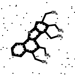 CCc1cc2oc3c4ccccc4c(CC)c(CC)c3c2c(CC)c1CC